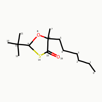 CCCCCCC1(C)OC(C(C)(C)C)SC1=O